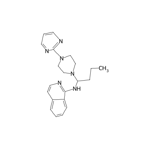 CCCC(Nc1nccc2ccccc12)N1CCN(c2ncccn2)CC1